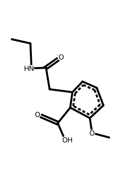 CCNC(=O)Cc1cccc(OC)c1C(=O)O